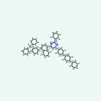 CC1(c2ccccc2)c2ccccc2-c2ccc(-c3ccc(-c4cc(-c5ccc(-c6ccc(-c7ccccc7)cc6)cc5)nc(-c5ccccc5)n4)c4ccccc34)cc21